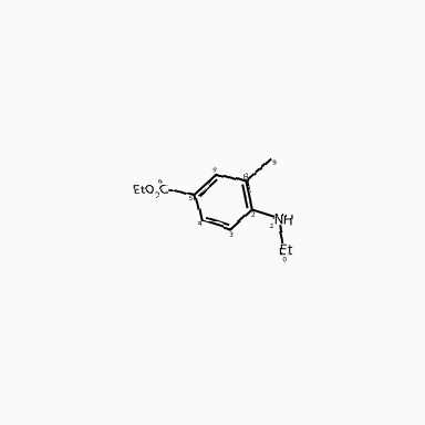 CCNc1ccc(C(=O)OCC)cc1C